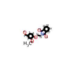 COc1cc(C=O)ccc1OCCN1C(=O)c2ccccc2C1=O